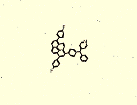 Fc1ccc(-c2ccc3ccc4c(-c5ccc(F)cc5)cc(-c5ccc(C(c6ccccc6)c6ccncc6)cc5)c5ccc2c3c45)cc1